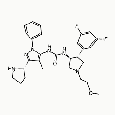 COCCN1C[C@@H](NC(=O)Nc2c(C)c([C@@H]3CCCN3)nn2-c2ccccc2)[C@H](c2cc(F)cc(F)c2)C1